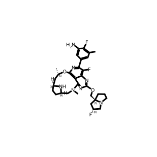 Cc1cc(-c2nc3c4c(nc(OC[C@@]56CCCN5C[C@H](F)C6)nc4c2F)N(C)C[C@H]2CC[C@@H](C[C@H](C)O3)N2)cc(N)c1F